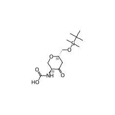 CC(C)(C)[Si](C)(C)OC[C@@H]1CC(=O)[C@@H](NC(=O)O)CO1